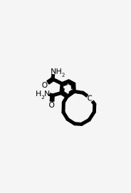 NC(=O)c1ccc2c(c1C(N)=O)CCCCCCCCCC2